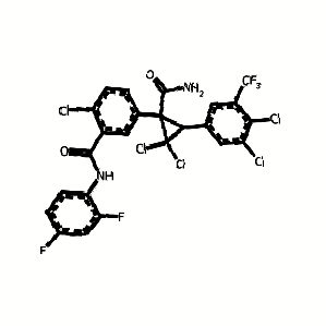 NC(=O)C1(c2ccc(Cl)c(C(=O)Nc3ccc(F)cc3F)c2)C(c2cc(Cl)c(Cl)c(C(F)(F)F)c2)C1(Cl)Cl